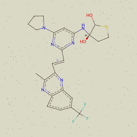 Cc1nc2ccc(C(F)(F)F)cc2nc1/C=C/c1nc(N[C@@]2(O)CCSC2O)cc(N2CCCC2)n1